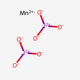 [Mn+2].[O-][I+2]([O-])[O-].[O-][I+2]([O-])[O-]